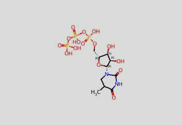 CC1CN([C@@H]2O[C@H](COP(=O)(O)OP(=O)(O)OP(=O)(O)O)[C@@H](O)[C@H]2O)C(=O)NC1=O